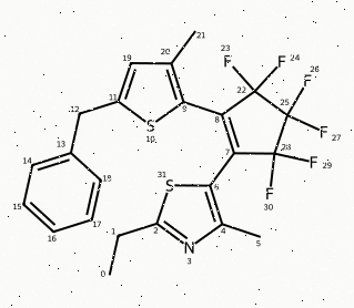 CCc1nc(C)c(C2=C(c3sc(Cc4ccccc4)cc3C)C(F)(F)C(F)(F)C2(F)F)s1